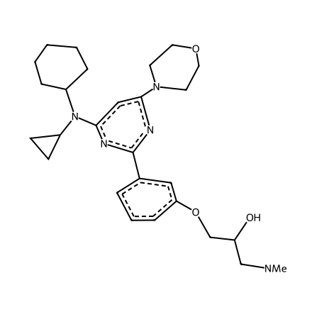 CNCC(O)COc1cccc(-c2nc(N3CCOCC3)cc(N(C3CCCCC3)C3CC3)n2)c1